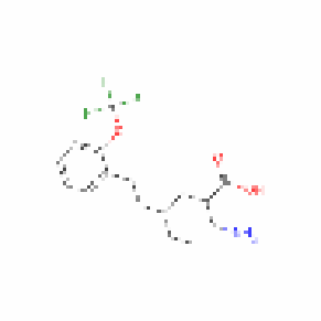 CCC(CCc1ccccc1OC(F)(F)F)CC(CN)C(=O)O